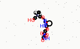 CC/C(=C(\c1ccc(O)cc1)c1ccc(OCCN2CCN(C3NCC(Oc4ccc5c(c4)C(=O)N(C4CCC(=O)NC4=O)C5=O)CC34CCCCCCCCCC4)CC2)cc1)c1ccccc1